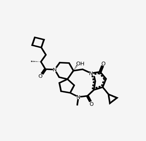 C[C@H](CC1CCC1)C(=O)N1CC[C@@]2(O)Cn3cc(c(C4CC4)cc3=O)C(=O)N(C)C3CCC2(C3)C1